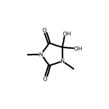 CN1C(=O)N(C)C(O)(O)C1=O